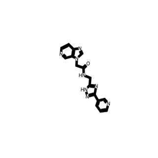 O=C(Cn1cnc2ccncc21)NCc1nc(-c2cccnc2)n[nH]1